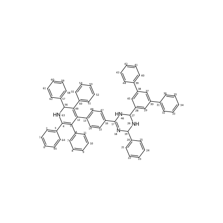 c1ccc(C2=C(c3ccccc3)C(c3ccc(C4=NC(c5ccccc5)NC(c5cc(-c6ccccc6)cc(-c6ccccc6)c5)N4)cc3)=C(c3ccccc3)C(c3ccccc3)N2)cc1